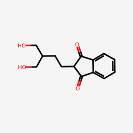 O=C1c2ccccc2C(=O)C1CCC(CO)CO